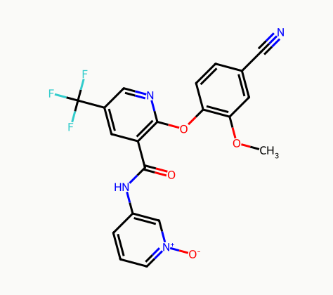 COc1cc(C#N)ccc1Oc1ncc(C(F)(F)F)cc1C(=O)Nc1ccc[n+]([O-])c1